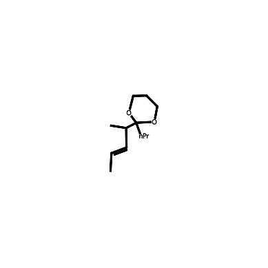 CC=CC(C)C1(CCC)OCCCO1